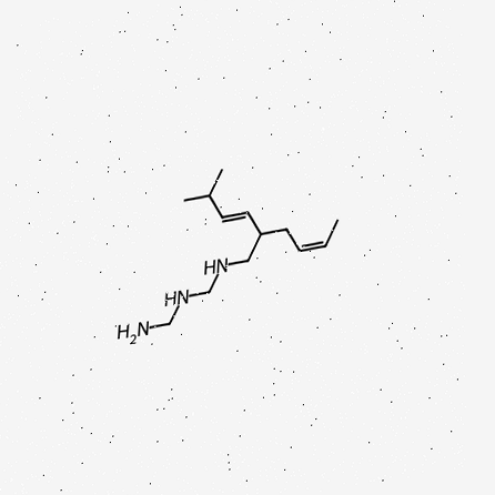 C/C=C\CC(/C=C/C(C)C)CNCNCN